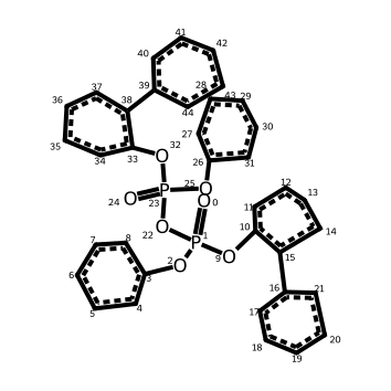 O=P(Oc1ccccc1)(Oc1ccccc1-c1ccccc1)OP(=O)(Oc1ccccc1)Oc1ccccc1-c1ccccc1